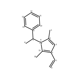 C=Cc1cc(C)n(C(C)c2ccccc2)c1C